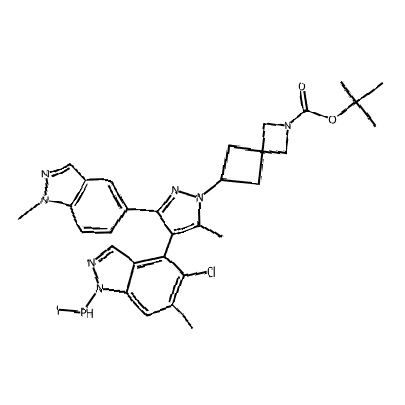 Cc1cc2c(cnn2PI)c(-c2c(-c3ccc4c(cnn4C)c3)nn(C3CC4(C3)CN(C(=O)OC(C)(C)C)C4)c2C)c1Cl